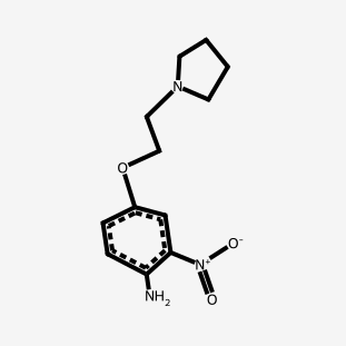 Nc1ccc(OCCN2CCCC2)cc1[N+](=O)[O-]